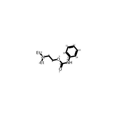 CCN(CC)CCOC(=O)Nc1ccccc1